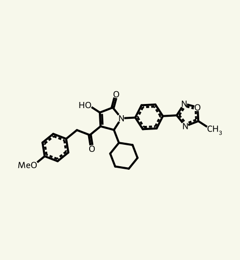 COc1ccc(CC(=O)C2=C(O)C(=O)N(c3ccc(-c4noc(C)n4)cc3)C2C2CCCCC2)cc1